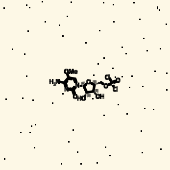 COc1cn([C@@H]2O[C@H](COP(=O)(Cl)Cl)[C@H](O)[C@@H]2O)c(=O)nc1N